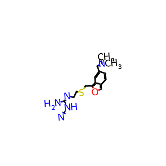 CN(C)Cc1ccc2coc(CSCCN=C(N)NC#N)c2c1